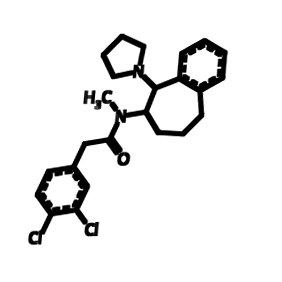 CN(C(=O)Cc1ccc(Cl)c(Cl)c1)C1CCCc2ccccc2C1N1CCCC1